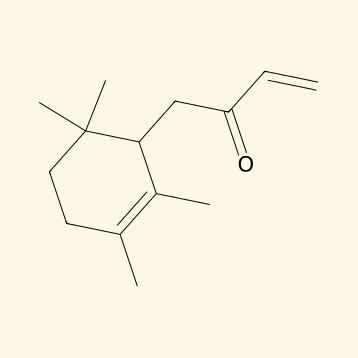 C=CC(=O)CC1C(C)=C(C)CCC1(C)C